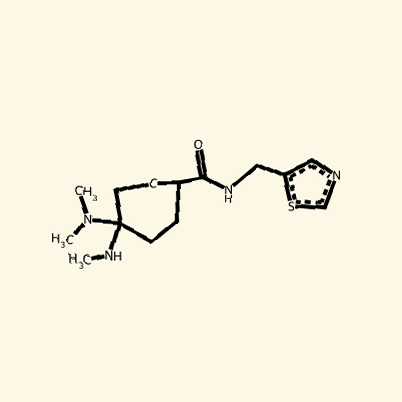 CNC1(N(C)C)CCC(C(=O)NCc2cncs2)CC1